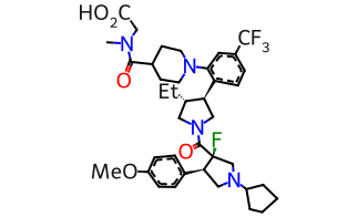 CC[C@H]1CN(C(=O)[C@]2(F)CN(C3CCCC3)C[C@H]2c2ccc(OC)cc2)C[C@@H]1c1ccc(C(F)(F)F)cc1N1CCC(C(=O)N(C)CC(=O)O)CC1